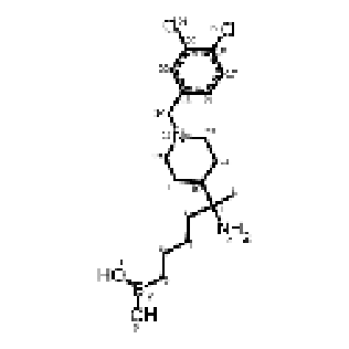 CC(N)(CCCCB(O)O)C1CCN(Cc2ccc(Cl)c(Cl)c2)CC1